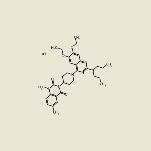 CCCN(CCC)c1nc(N2CCC(n3c(=O)c4cc(C)ccc4n(C)c3=O)CC2)c2cc(OCC)c(OCC)cc2n1.Cl